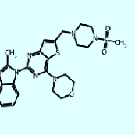 Cc1nc2ccccc2n1-c1nc(N2CCOCC2)c2sc(CN3CCN(S(C)(=O)=O)CC3)cc2n1